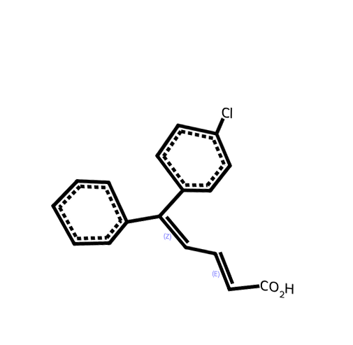 O=C(O)/C=C/C=C(/c1ccccc1)c1ccc(Cl)cc1